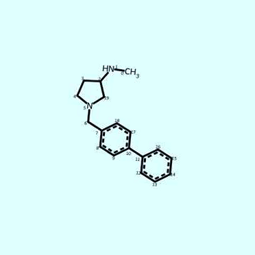 CNC1CCN(Cc2ccc(-c3ccccc3)cc2)C1